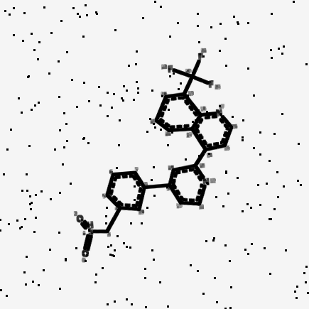 O=[SH](=O)Cc1cccc(-c2ccnc(-c3ccnc4c(C(F)(F)F)cccc34)c2)c1